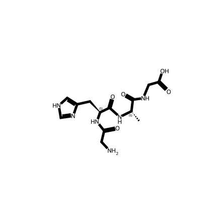 C[C@H](NC(=O)[C@H](Cc1c[nH]cn1)NC(=O)CN)C(=O)NCC(=O)O